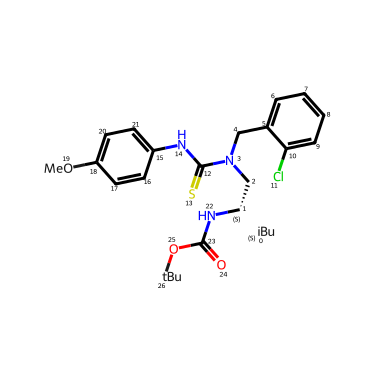 CC[C@H](C)[C@@H](CN(Cc1ccccc1Cl)C(=S)Nc1ccc(OC)cc1)NC(=O)OC(C)(C)C